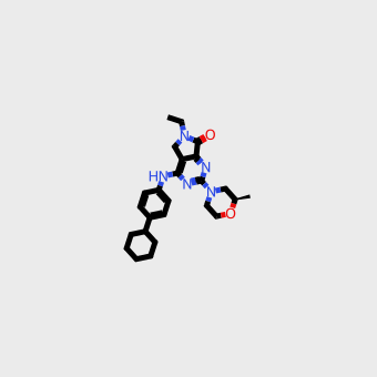 CCN1Cc2c(Nc3ccc(C4CCCCC4)cc3)nc(N3CCO[C@H](C)C3)nc2C1=O